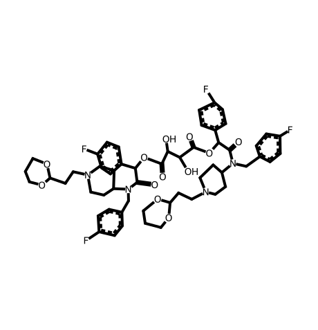 O=C(OC(C(=O)N(Cc1ccc(F)cc1)C1CCN(CCC2OCCCO2)CC1)c1ccc(F)cc1)C(O)C(O)C(=O)OC(C(=O)N(Cc1ccc(F)cc1)C1CCN(CCC2OCCCO2)CC1)c1ccc(F)cc1